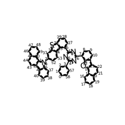 c1ccc(-c2nc(-c3cccc4c3oc3c5ccccc5ccc43)nc(-c3cccc4sc5cc(-n6c7ccccc7c7ccc8ccccc8c76)ccc5c34)n2)cc1